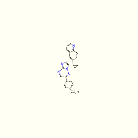 O=C(O)c1ccc(-c2cnc3ncc(C4(c5ccc6ncccc6c5)CC4)n3n2)cc1